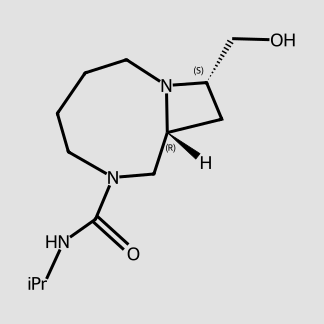 CC(C)NC(=O)N1CCCCN2[C@H](CO)C[C@@H]2C1